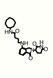 O=C1CCC(N2Cc3c(NCCCC(=O)NC4CCCCCCC4)cccc3C2=O)C(=O)N1